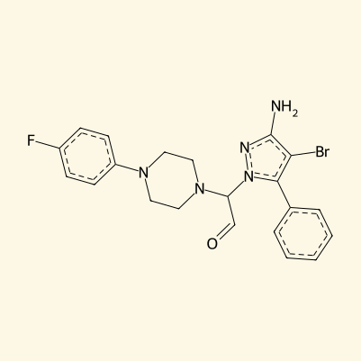 Nc1nn(C(C=O)N2CCN(c3ccc(F)cc3)CC2)c(-c2ccccc2)c1Br